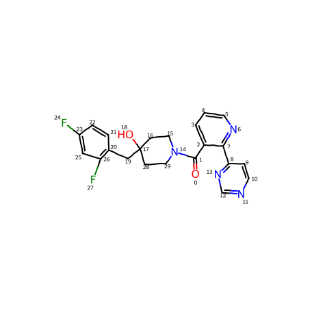 O=C(c1cccnc1-c1ccncn1)N1CCC(O)(Cc2ccc(F)cc2F)CC1